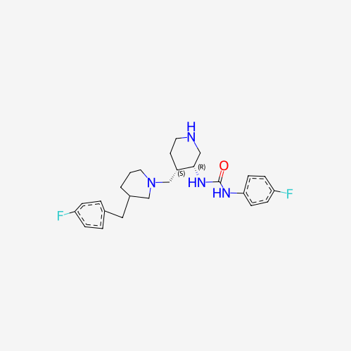 O=C(Nc1ccc(F)cc1)N[C@H]1CNCC[C@H]1CN1CCCC(Cc2ccc(F)cc2)C1